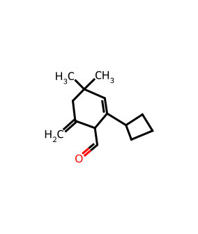 C=C1CC(C)(C)C=C(C2CCC2)C1C=O